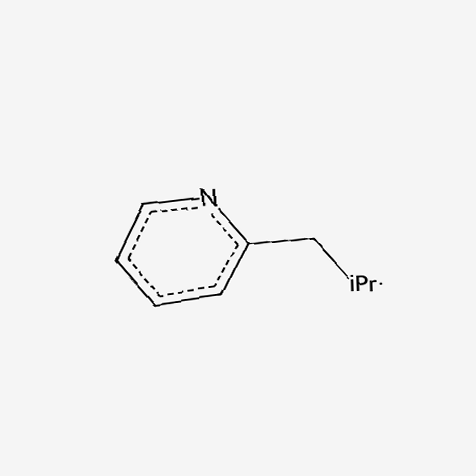 C[C](C)Cc1ccccn1